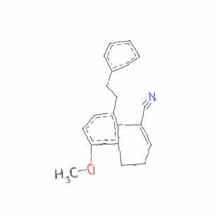 COc1ccc(CCc2ccccc2)c2c1CCC=C2C#N